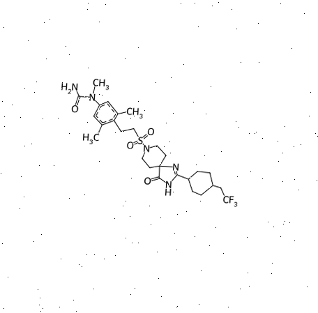 Cc1cc(N(C)C(N)=O)cc(C)c1CCS(=O)(=O)N1CCC2(CC1)N=C(C1CCC(CC(F)(F)F)CC1)NC2=O